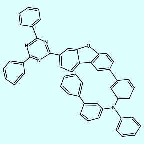 c1ccc(-c2cccc(N(c3ccccc3)c3cccc(-c4ccc5oc6cc(-c7nc(-c8ccccc8)nc(-c8ccccc8)n7)ccc6c5c4)c3)c2)cc1